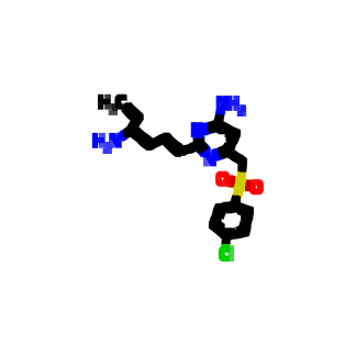 C=C/C(N)=C\C=C\c1nc(N)cc(CS(=O)(=O)c2ccc(Cl)cc2)n1